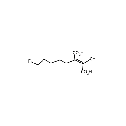 CC(C(=O)O)=C(CCCCCF)C(=O)O